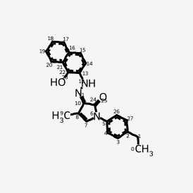 CCc1ccc(N2C=C(C)/C(=N/Nc3ccc4ccccc4c3O)C2=O)cc1